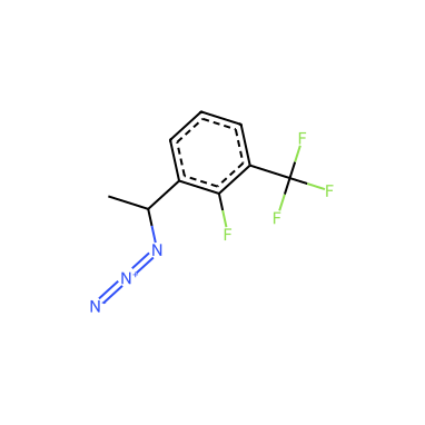 CC(N=[N+]=[N-])c1cccc(C(F)(F)F)c1F